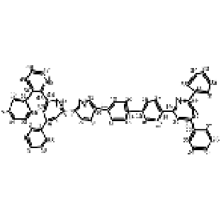 c1ccc(-c2cc(-c3ccc(-c4ccc(-c5ccc(-c6cc(-c7ccccc7)nc(-c7ccccc7)n6)cc5)cc4)cn3)nc(-c3ncccc3-c3ccccc3)c2)cc1